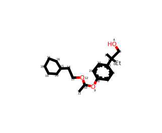 CCC(C)(CO)c1ccc(OC(C)OCCC2CCCCC2)cc1